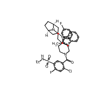 CCNS(=O)(=O)c1cc(C(=O)N2CCC(CCN3[C@@H]4CC[C@H]3CC(n3c(C)nc5ccccc53)C4)(c3cccc(F)c3)CC2)c(Cl)cc1F